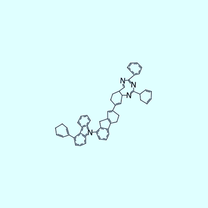 C1=CCC(C2=N/C3C=C(C4=CC5=C(CC4)c4cccc(-n6c7ccccc7c7c(C8=CCCC=C8)cccc76)c4C5)CCC3/C=N/C(c3ccccc3)=N\2)C=C1